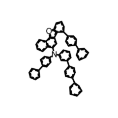 c1ccc(-c2ccc(-c3cccc(N(c4ccc(-c5ccccc5)cc4)c4cc5c(oc6cccc(-c7ccc(-c8ccccc8)cc7)c65)c5ccccc45)c3)cc2)cc1